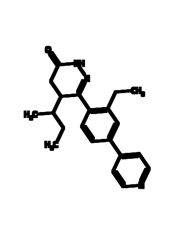 CCc1cc(-c2ccncc2)ccc1C1=NNC(=O)CC1C(C)CC